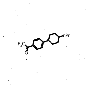 CCCC1CCC(c2ccc(C(=O)C(F)(F)F)cc2)CC1